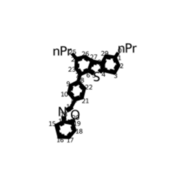 CCCc1ccc2sc3c(-c4ccc(-c5nc6ccccc6o5)cc4)cc(CCC)cc3c2c1